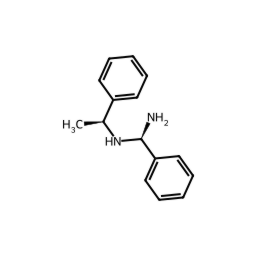 C[C@H](N[C@@H](N)c1ccccc1)c1ccccc1